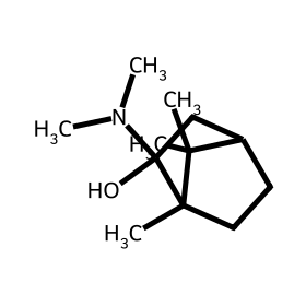 CN(C)C1(O)CC2CCC1(C)C2(C)C